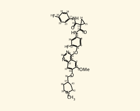 COc1cc2c(Oc3ccc(NC(=O)C4(C(=O)Nc5ccc(F)cc5)CC4)cc3F)ncnc2cc1OCC1CCN(C)CC1